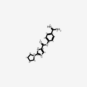 N=C(N)c1ccc(OC(=O)c2cnc(N3CCCC3)s2)cc1